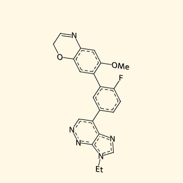 CCn1cnc2c(-c3ccc(F)c(-c4cc5c(cc4OC)N=CCO5)c3)cnnc21